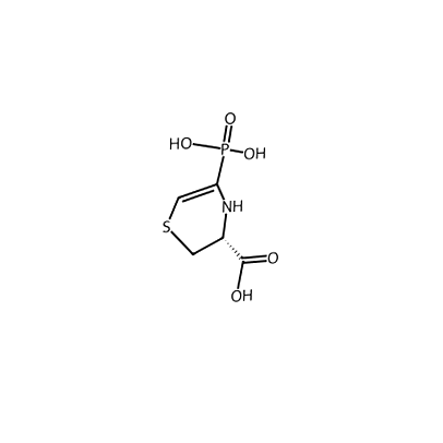 O=C(O)[C@@H]1CSC=C(P(=O)(O)O)N1